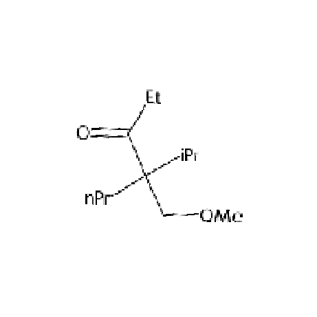 CCCC(COC)(C(=O)CC)C(C)C